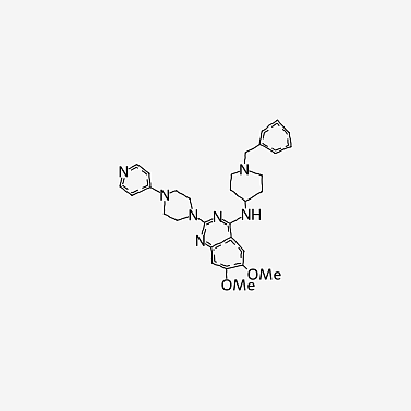 COc1cc2nc(N3CCN(c4ccncc4)CC3)nc(NC3CCN(Cc4ccccc4)CC3)c2cc1OC